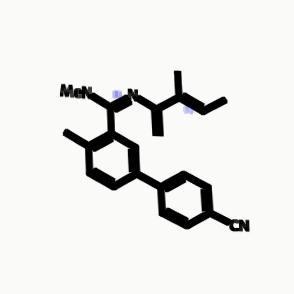 C=C(/N=C(/NC)c1cc(-c2ccc(C#N)cc2)ccc1C)/C(C)=C/C